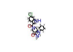 CN1CN(c2ccccc2)C2(CCN(C(=O)c3c[nH]c4cc(Cl)ccc34)CC2)C1=O